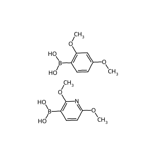 COc1ccc(B(O)O)c(OC)c1.COc1ccc(B(O)O)c(OC)n1